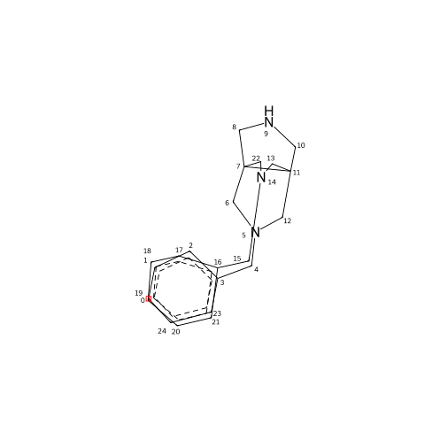 c1ccc(CN2CC34CNCC3(C2)CN(Cc2ccccc2)C4)cc1